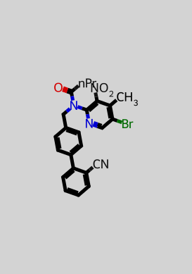 CCCC(=O)N(Cc1ccc(-c2ccccc2C#N)cc1)c1ncc(Br)c(C)c1[N+](=O)[O-]